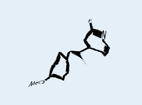 COc1ccc(C=Cc2ccnc(F)c2)cc1